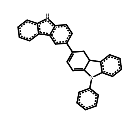 C1=C(c2ccc3[nH]c4ccccc4c3c2)CC2C(=C1)N(c1ccccc1)c1ccccc12